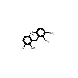 O=[N+]([O-])c1ccc([N+](=O)[O-])c([N+](=O)[O-])c1[CH]c1c([N+](=O)[O-])ccc([N+](=O)[O-])c1[N+](=O)[O-]